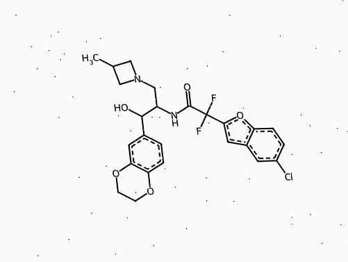 CC1CN(CC(NC(=O)C(F)(F)c2cc3cc(Cl)ccc3o2)C(O)c2ccc3c(c2)OCCO3)C1